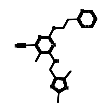 Cc1nc(C)c(CNc2nc(OCCc3ccccn3)nc(C#N)c2C)s1